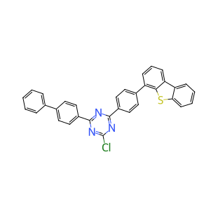 Clc1nc(-c2ccc(-c3ccccc3)cc2)nc(-c2ccc(-c3cccc4c3sc3ccccc34)cc2)n1